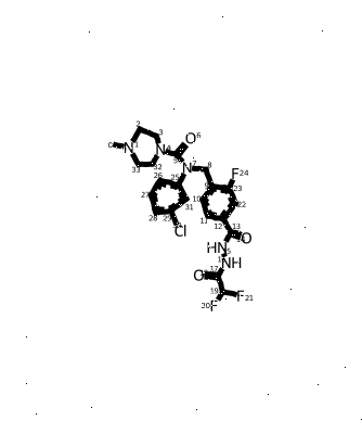 CN1CCN(C(=O)N(Cc2ccc(C(=O)NNC(=O)C(F)F)cc2F)c2cccc(Cl)c2)CC1